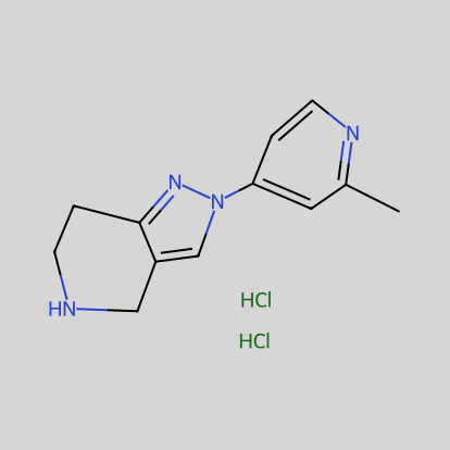 Cc1cc(-n2cc3c(n2)CCNC3)ccn1.Cl.Cl